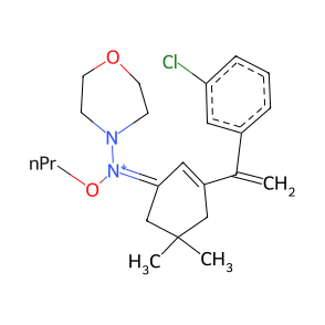 C=C(C1=C/C(=[N+](/OCCC)N2CCOCC2)CC(C)(C)C1)c1cccc(Cl)c1